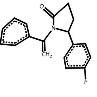 C=C(c1ccccc1)N1C(=O)CCC1c1ccc(F)cc1